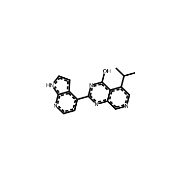 CC(C)c1cncc2nc(-c3ccnc4[nH]ccc34)nc(O)c12